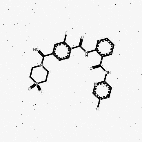 N=C(c1ccc(C(=O)Nc2ccccc2C(=O)Nc2ccc(Cl)cn2)c(F)c1)N1CCS(=O)(=O)CC1